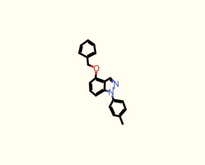 Cc1ccc(-n2ncc3c(OCc4ccccc4)cccc32)cc1